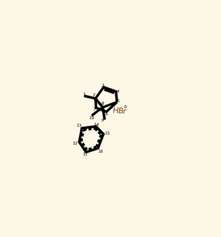 Br.CC12C=CC(CC1)C2(C)C.c1ccccc1